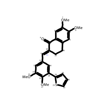 COc1cc2c(cc1OC)C(=O)/C(=C/c1cc(OC)c(OC)c(-c3cccs3)c1)CC2